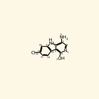 Nc1cnc(O)c2c1[nH]c1cc(Cl)ccc12